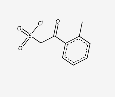 Cc1ccccc1C(=O)CS(=O)(=O)Cl